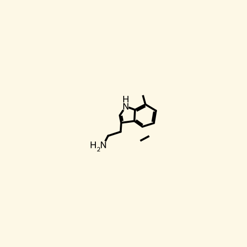 CC.Cc1cccc2c(CCN)c[nH]c12